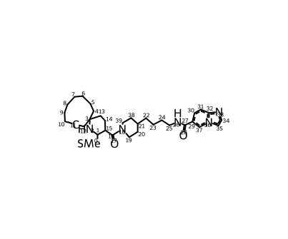 CSC1NC2(CCCCCCCCC2)CCC1C(=O)N1CCC(CCCCNC(=O)c2ccc3nccn3c2)CC1